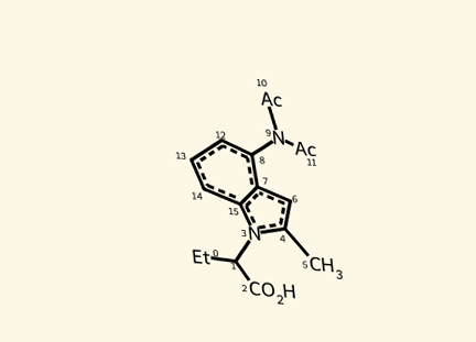 CCC(C(=O)O)n1c(C)cc2c(N(C(C)=O)C(C)=O)cccc21